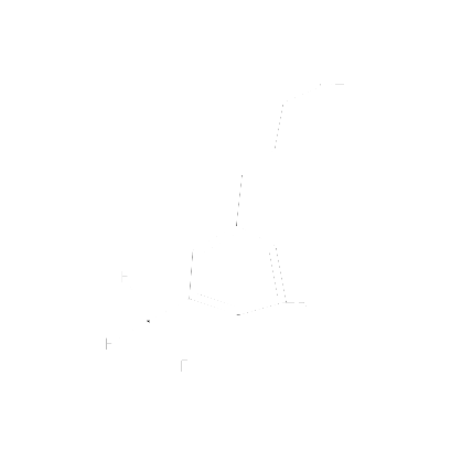 Br.OCCCc1cccc(C(F)(F)F)c1